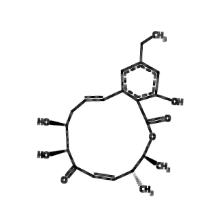 CCc1cc(O)c2c(c1)/C=C/C[C@H](O)[C@H](O)C(=O)/C=C\[C@@H](C)[C@H](C)OC2=O